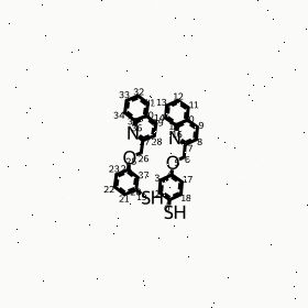 Sc1ccc(OCc2ccc3ccccc3n2)cc1.Sc1cccc(OCc2ccc3ccccc3n2)c1